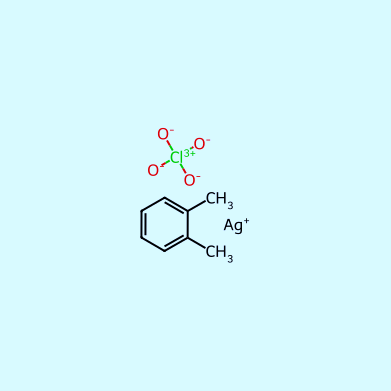 Cc1ccccc1C.[Ag+].[O-][Cl+3]([O-])([O-])[O-]